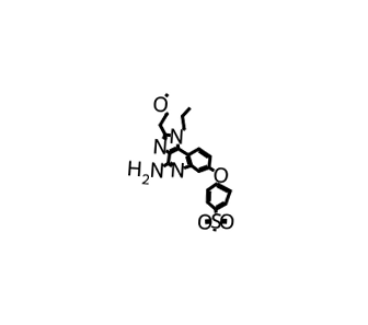 CCCn1c(CCOC)nc2c(N)nc3cc(Oc4ccc(S(C)(=O)=O)cc4)ccc3c21